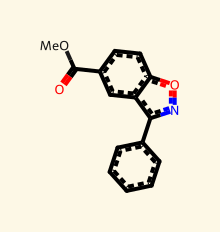 COC(=O)c1ccc2onc(-c3ccccc3)c2c1